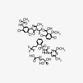 COc1c(Cl)ccc(Cl)c1C(=O)O.COc1nc(C)nc(NC(=O)NS(=O)(=O)c2ccccc2CCC(F)(F)F)n1.Cc1nn(-c2cc(NS(C)(=O)=O)c(Cl)cc2Cl)c(=O)n1C(F)F.O=C(O)CNCP(=O)(O)O